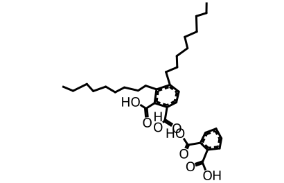 CCCCCCCCCc1ccc(C(=O)O)c(C(=O)O)c1CCCCCCCCC.O=C(O)c1ccccc1C(=O)O